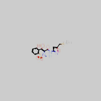 CCCCSCc1cc(NC(=O)C2=C(O)c3ccccc3S(=O)(=O)N2C)no1